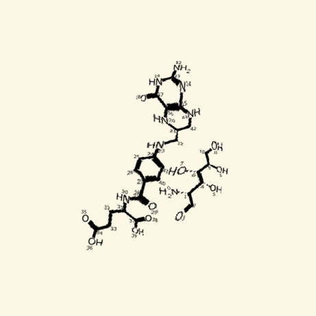 N[C@@H](C=O)[C@@H](O)[C@H](O)[C@H](O)CO.Nc1nc2c(c(=O)[nH]1)N[C@H](CNc1ccc(C(=O)NC(CCC(=O)O)C(=O)O)cc1)CN2